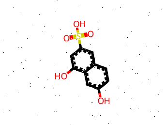 O=S(=O)(O)c1cc(O)c2cc(O)ccc2c1